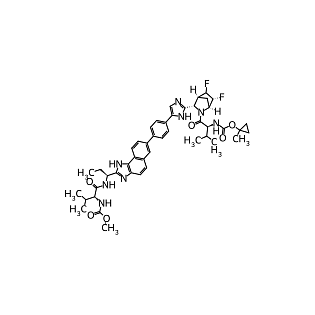 CC[C@H](NC(=O)[C@@H](NC(=O)OC)C(C)C)c1nc2ccc3cc(-c4ccc(-c5cnc([C@@H]6[C@@H]7C[C@@H]([C@@H](F)C7F)N6C(=O)[C@@H](NC(=O)OC6(C)CC6)C(C)C)[nH]5)cc4)ccc3c2[nH]1